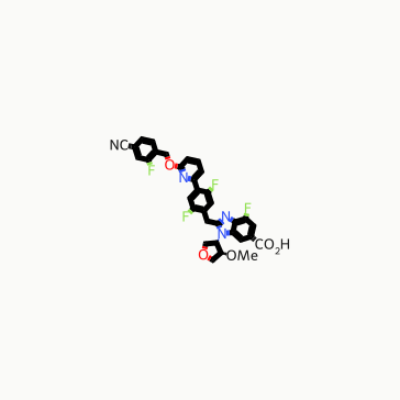 CO[C@H]1COC[C@@H]1n1c(Cc2cc(F)c(-c3cccc(OCc4ccc(C#N)cc4F)n3)cc2F)nc2c(F)cc(C(=O)O)cc21